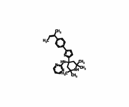 C/C=C(/C)c1ccc(-c2ccc(C3(Nc4ncccn4)CC(C)(C)NC(C)(C)C3)s2)cc1